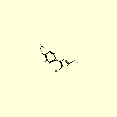 CSc1ccc(-c2nc(C)oc2C)cc1